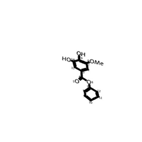 COc1cc(C(=O)Oc2ccccc2)cc(O)c1O